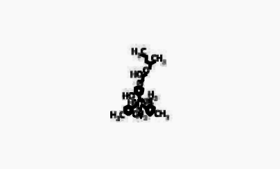 CCCCC(CC)COCC(O)COc1ccc(C2NC(c3ccc(C)cc3C)NC(c3ccc(C)cc3C)N2)c(O)c1